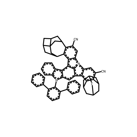 N#Cc1cc2c(c3c1C1CC4CC(C1)CC3C4)c1cc3c(c4ccccc4n3-c3c(-c4ccccc4)cccc3-c3ccccc3)c3c4c5c(c(C#N)cc4n2c13)C1CC2CC3CC5CC23C1